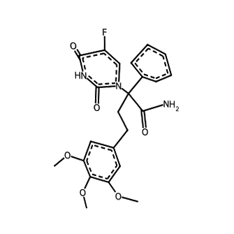 COc1cc(CCC(C(N)=O)(c2ccccc2)n2cc(F)c(=O)[nH]c2=O)cc(OC)c1OC